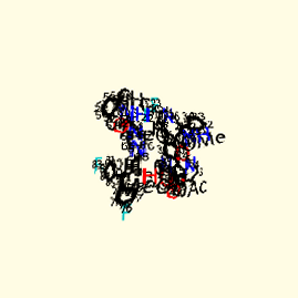 CC[C@]12C=CCN3CC[C@@]4(c5cc([C@@]6(C(=O)OC)C[C@H]7C[C@@H](C(C)(F)F)C[N@](Cc8c6[nH]c6ccccc86)C7)c(OC)cc5N(C)[C@H]4[C@@](O)(C(=O)OC)[C@@H]1OC(C)=O)[C@@H]32.Cc1cccc(C)c1NC(=O)CN1CCN(CCCC(c2ccc(F)cc2)c2ccc(F)cc2)CC1